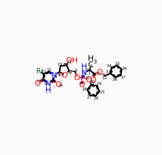 C[C@H](NP(=O)(OC[C@H]1O[C@@H](n2cc(F)c(=O)[nH]c2=O)C[C@H]1O)Oc1ccccc1)C(=O)OCc1ccccc1